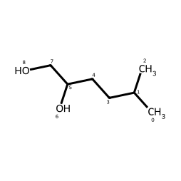 CC(C)CCC(O)CO